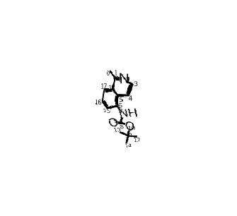 Cc1nccc2c(NC(=O)OC(C)(C)C)cccc12